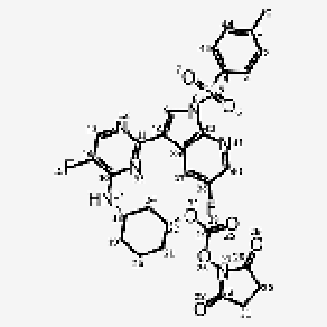 Cc1ccc(S(=O)(=O)n2cc(-c3ncc(F)c(N[C@H]4CCC[C@@H](OC(=O)ON5C(=O)CCC5=O)C4)n3)c3cc(F)cnc32)cc1